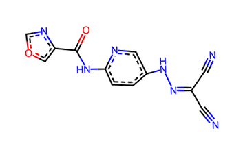 N#CC(C#N)=NNc1ccc(NC(=O)c2cocn2)nc1